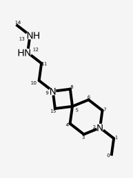 CCN1CCC2(CC1)CN(CCNNC)C2